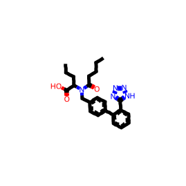 CCCCC(=O)N(Cc1ccc(-c2ccccc2-c2nnn[nH]2)cc1)C(CCC)C(=O)O